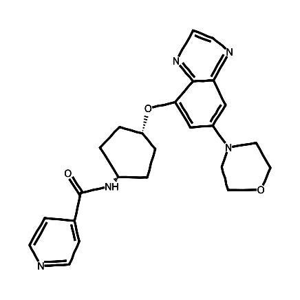 O=C(N[C@H]1CC[C@@H](Oc2cc(N3CCOCC3)cc3nccnc23)CC1)c1ccncc1